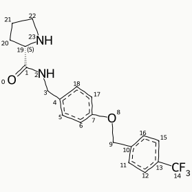 O=C(NCc1ccc(OCc2ccc(C(F)(F)F)cc2)cc1)[C@@H]1CCCN1